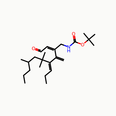 C=C(/C(=C\C=O)CNC(=O)OC(C)(C)C)/C(=C/CC)C(C)(C)CC(C)CCC